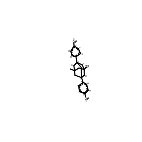 CCC12CC3(C)CC(c4ccc(O)cc4)(C1)CC(c1ccc(O)cc1)(C3)C2